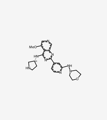 COc1cncc2nc(-c3ccnc(NN4CCOCC4)c3)nc(N[C@@H]3CCNC3)c12